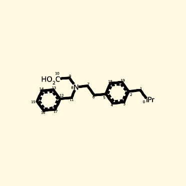 CC(C)Cc1ccc(CCN(CC(=O)O)Cc2ccccc2)cc1